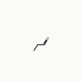 [CH2]C[C]=O